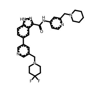 O=C(Nc1ccnc(CN2CCCCC2)c1)c1n[nH]c2ccc(-c3cncc(CN4CCC(F)(F)CC4)c3)cc12